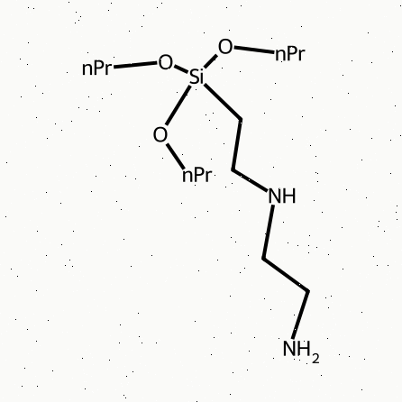 CCCO[Si](CCNCCN)(OCCC)OCCC